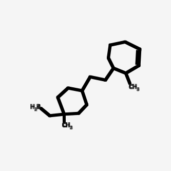 BCC1(C)CCC(CCC2CCCC=CC2C)CC1